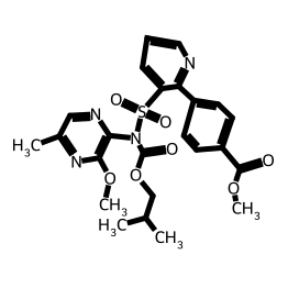 COC(=O)c1ccc(-c2ncccc2S(=O)(=O)N(C(=O)OCC(C)C)c2ncc(C)nc2OC)cc1